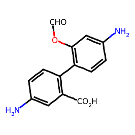 Nc1ccc(-c2ccc(N)cc2C(=O)O)c(OC=O)c1